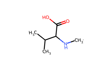 [CH2]NC(C(=O)O)C(C)C